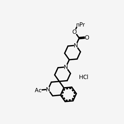 CCCOC(=O)N1CCC(N2CCC3(CC2)CN(C(C)=O)Cc2ccccc23)CC1.Cl